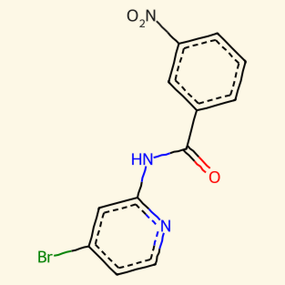 O=C(Nc1cc(Br)ccn1)c1cccc([N+](=O)[O-])c1